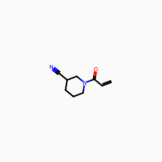 C=CC(=O)N1CCCC(C#N)C1